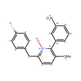 COc1ccc(Cc2ccc(F)cc2)[n+]([O-])c1-c1cccc([N+](=O)[O-])c1